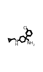 NCC1(c2cccc(Cl)c2)CCC(NCC2CC2)CC1